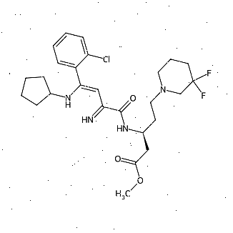 COC(=O)C[C@H](CCN1CCCC(F)(F)C1)NC(=O)C(=N)/C=C(\NC1CCCC1)c1ccccc1Cl